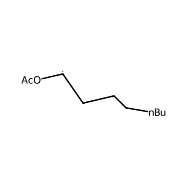 CCCCCCC[CH]OC(C)=O